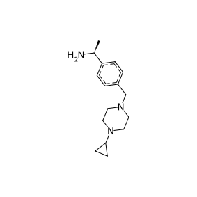 C[C@H](N)c1ccc(CN2CCN(C3CC3)CC2)cc1